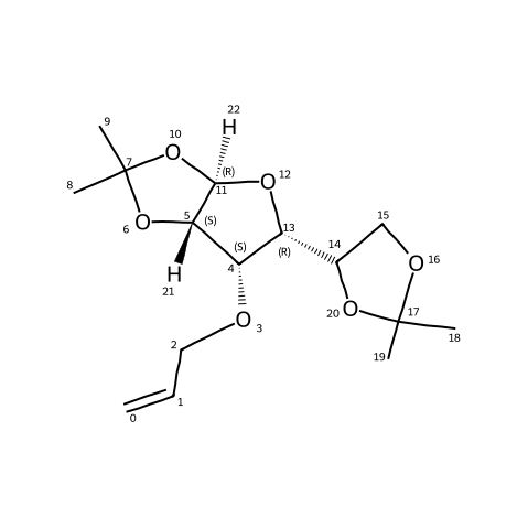 C=CCO[C@@H]1[C@@H]2OC(C)(C)O[C@H]2O[C@@H]1C1COC(C)(C)O1